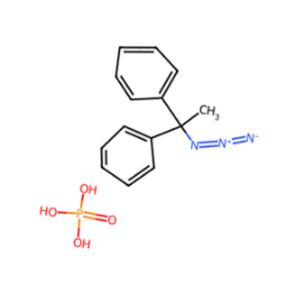 CC(N=[N+]=[N-])(c1ccccc1)c1ccccc1.O=P(O)(O)O